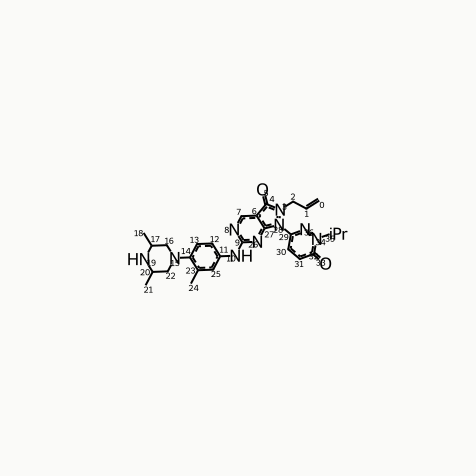 C=CCn1c(=O)c2cnc(Nc3ccc(N4CC(C)NC(C)C4)c(C)c3)nc2n1-c1ccc(=O)n(C(C)C)n1